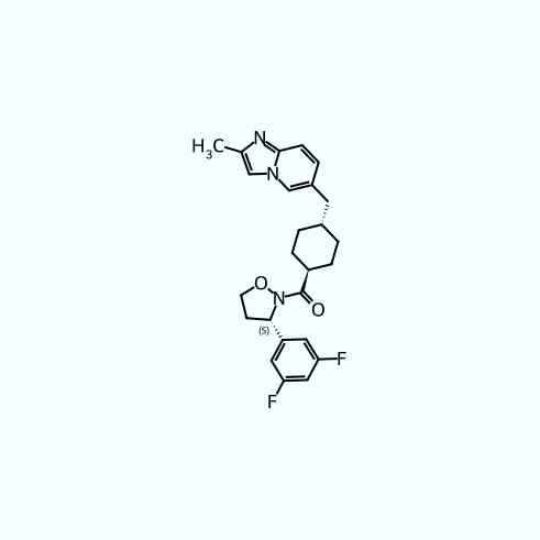 Cc1cn2cc(C[C@H]3CC[C@H](C(=O)N4OCC[C@H]4c4cc(F)cc(F)c4)CC3)ccc2n1